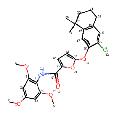 COc1cc(OC)c(NC(=O)c2ccc(Oc3cc4c(cc3Cl)CCCC4(C)C)o2)c(OC)c1